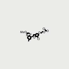 COc1cnc2c(-c3cc4cc(OCCOC(=O)Cl)cc(Cl)c4o3)cc(C)cc2n1